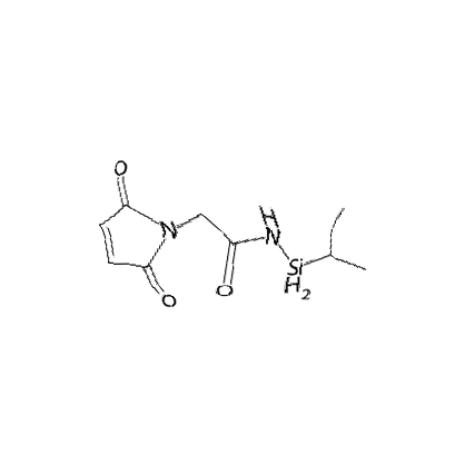 CC(C)[SiH2]NC(=O)CN1C(=O)C=CC1=O